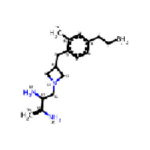 BCCc1ccc(CC2CN(CC(N)C(=C)N)C2)c(C)c1